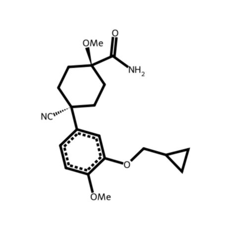 COc1ccc([C@]2(C#N)CC[C@@](OC)(C(N)=O)CC2)cc1OCC1CC1